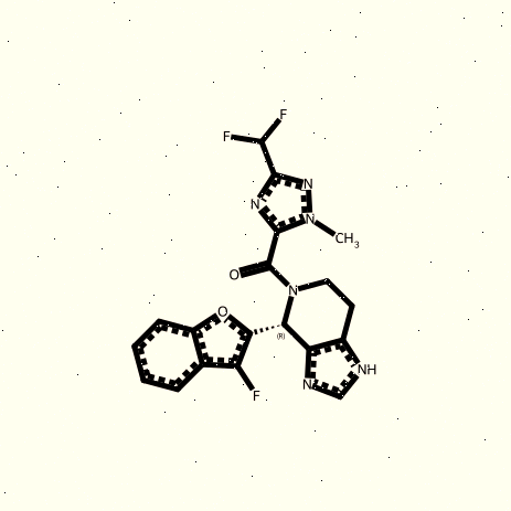 Cn1nc(C(F)F)nc1C(=O)N1CCc2[nH]cnc2[C@@H]1c1oc2ccccc2c1F